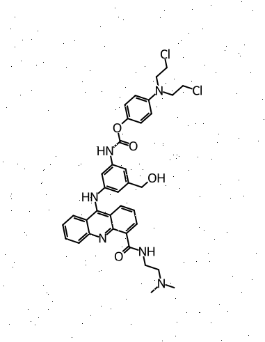 CN(C)CCNC(=O)c1cccc2c(Nc3cc(CO)cc(NC(=O)Oc4ccc(N(CCCl)CCCl)cc4)c3)c3ccccc3nc12